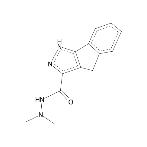 CN(C)NC(=O)c1n[nH]c2c1Cc1ccccc1-2